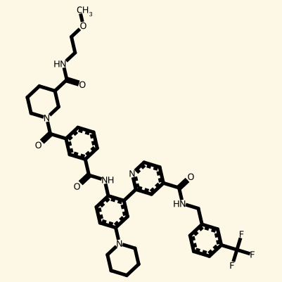 COCCNC(=O)C1CCCN(C(=O)c2cccc(C(=O)Nc3ccc(N4CCCCC4)cc3-c3cc(C(=O)NCc4cccc(C(F)(F)F)c4)ccn3)c2)C1